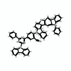 N#Cc1cc(-c2nc(-c3ccccc3)nc(-n3c4ccccc4c4ccccc43)n2)ccc1-n1c2ccccc2c2c3c(ccc21)oc1cc2c4ccccc4n(-c4ccccc4)c2cc13